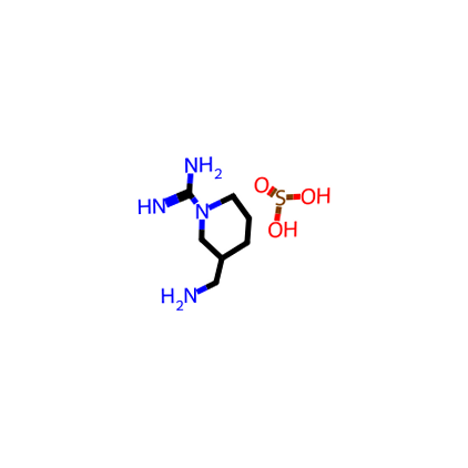 N=C(N)N1CCCC(CN)C1.O=S(O)O